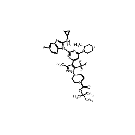 Cc1nn(C2CCN(C(=O)OC(C)(C)C)CC2)c(C(F)(F)F)c1-c1cc(N2CCOC[C@H]2C)nc(-n2c(NC3CC3)nc3cc(F)ccc32)n1